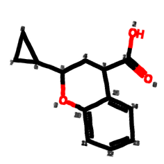 O=C(O)C1CC(C2CC2)Oc2ccccc21